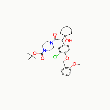 COc1ccccc1COc1ccc(C(C(=O)N2CCN(C(=O)OC(C)(C)C)CC2)C2(O)CCCCC2)cc1Cl